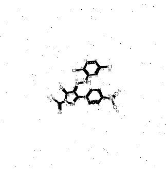 NC(=S)N1N=C(c2ccc([N+](=O)[O-])cc2)/C(=N\Nc2cc(Cl)ccc2Cl)C1=O